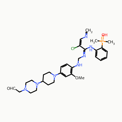 C=N/C=C(Cl)\C(=N/CNc1ccc(N2CCC(N3CCN(CC=O)CC3)CC2)cc1OC)Nc1ccccc1[PH](C)(C)O